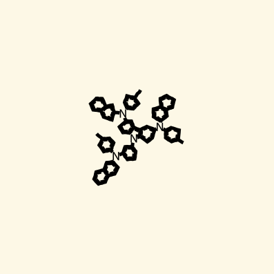 Cc1ccc(N(c2cccc(-n3c4ccc(N(c5ccc(C)cc5)c5ccc6ccccc6c5)cc4c4cc(N(c5ccc(C)cc5)c5ccc6ccccc6c5)ccc43)c2)c2ccc3ccccc3c2)cc1